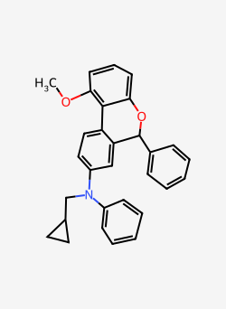 COc1cccc2c1-c1ccc(N(CC3CC3)c3ccccc3)cc1C(c1ccccc1)O2